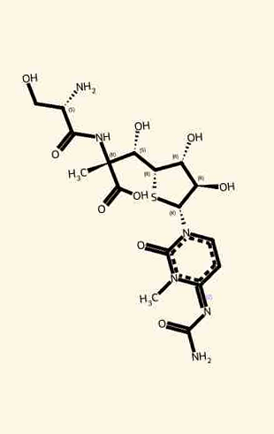 Cn1c(=O)n([C@@H]2S[C@H]([C@@H](O)[C@@](C)(NC(=O)[C@@H](N)CO)C(=O)O)[C@H](O)[C@H]2O)cc/c1=N/C(N)=O